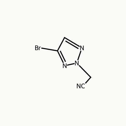 N#CCn1ncc(Br)n1